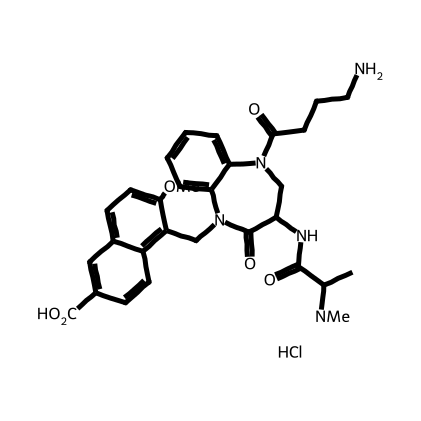 CNC(C)C(=O)NC1CN(C(=O)CCCN)c2ccccc2N(Cc2c(OC)ccc3cc(C(=O)O)ccc23)C1=O.Cl